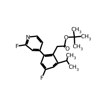 CC(C)c1cc(F)cc(-c2ccnc(F)c2)c1CC(=O)OC(C)(C)C